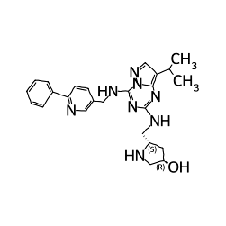 CC(C)c1cnn2c(NCc3ccc(-c4ccccc4)nc3)nc(NC[C@@H]3C[C@@H](O)CN3)nc12